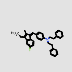 CC1=C(CC(=O)O)c2cc(F)ccc2/C1=C\c1ccc(N(CCc2ccccc2)CCc2ccccc2)cc1